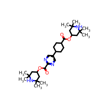 CC1(C)CC(OC(=O)c2ncc(C3CCC(C(=O)OC4CC(C)(C)NC(C)(C)C4)CC3)cn2)CC(C)(C)N1